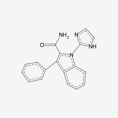 NC(=O)c1c(-c2ccccc2)c2ccccc2n1-c1ncc[nH]1